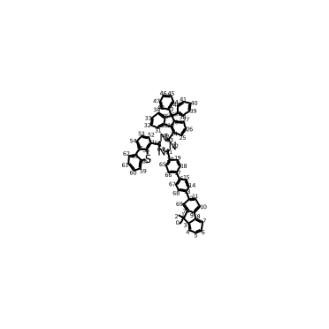 CC1(C)c2ccccc2-c2ccc(-c3ccc(-c4ccc(-c5nc(-c6cccc7c6-c6ccccc6C7(c6ccccc6)c6ccccc6)nc(-c6cccc7c6sc6ccccc67)n5)cc4)cc3)cc21